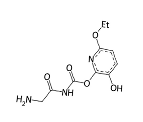 CCOc1ccc(O)c(OC(=O)NC(=O)CN)n1